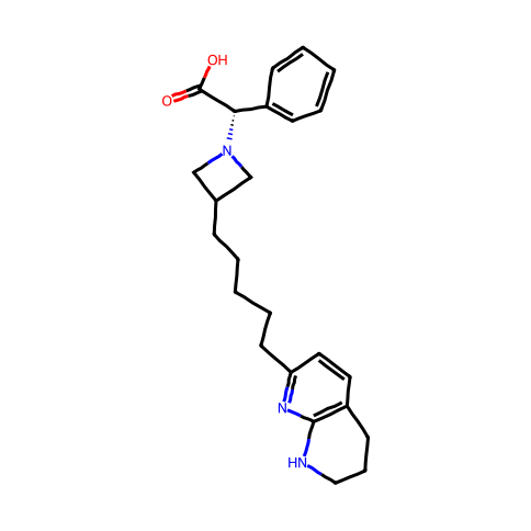 O=C(O)[C@H](c1ccccc1)N1CC(CCCCCc2ccc3c(n2)NCCC3)C1